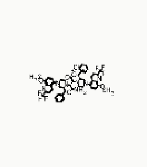 CCOC(=O)C([C@@H](C(N)=O)N1CCN(c2ccc(OC)c3nc(C(F)(F)F)ccc23)CC1Cc1ccccc1)N1CCN(c2ccc(OC)c3nc(C(F)(F)F)ccc23)C[C@@H]1Cc1ccccc1